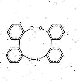 c1ccc2c(c1)OOc1ccccc1-c1ccccc1OOc1ccccc1-2